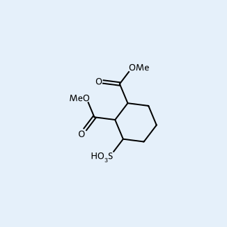 COC(=O)C1CCCC(S(=O)(=O)O)C1C(=O)OC